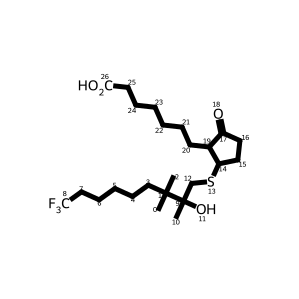 CC(C)(CCCCCC(F)(F)F)C(C)(O)CSC1CCC(=O)C1CCCCCCC(=O)O